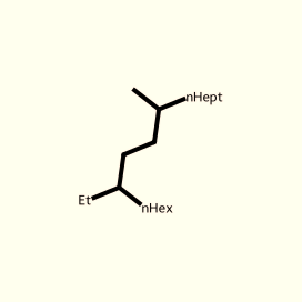 CCCCCCCC(C)CCC(CC)CCCCCC